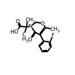 CC1=C(c2ccccc2F)C(=O)N(C(C)(C)C(=O)O)CO1